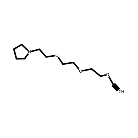 C#COCCOCCOCCN1CCCC1